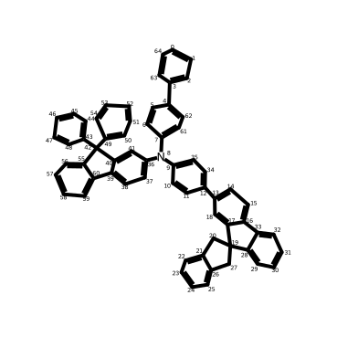 c1ccc(-c2ccc(N(c3ccc(-c4ccc5c(c4)C4(Cc6ccccc6C4)c4ccccc4-5)cc3)c3ccc4c(c3)C(c3ccccc3)(c3ccccc3)c3ccccc3-4)cc2)cc1